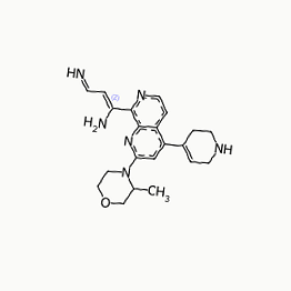 CC1COCCN1c1cc(C2=CCNCC2)c2ccnc(/C(N)=C/C=N)c2n1